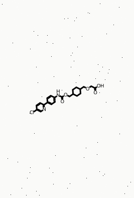 O=C(O)COCC1CCC(COC(=O)Nc2ccc(-c3ccc(Cl)cn3)cc2)CC1